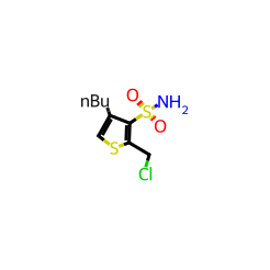 CCCCc1csc(CCl)c1S(N)(=O)=O